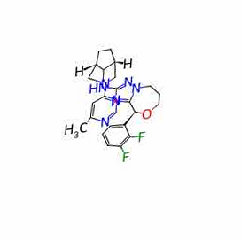 Cc1cc(N2C[C@H]3CC[C@@H](C2)C3Nc2nc3n(n2)CCCO[C@H]3c2cccc(F)c2F)ncn1